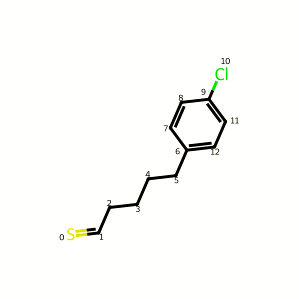 S=CCCCCc1ccc(Cl)cc1